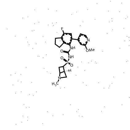 COc1cc(-c2cc(F)c3c(c2NC(=O)NS(=O)(=O)C2CC4[C@@H]2CN4C)CCC3)ccn1